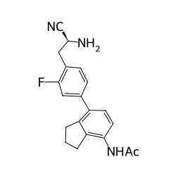 CC(=O)Nc1ccc(-c2ccc(C[C@H](N)C#N)c(F)c2)c2c1CCC2